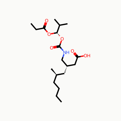 CCCC[C@@H](C)C[C@H](CNC(=O)O[C@H](OC(=O)CC)C(C)C)CC(=O)O